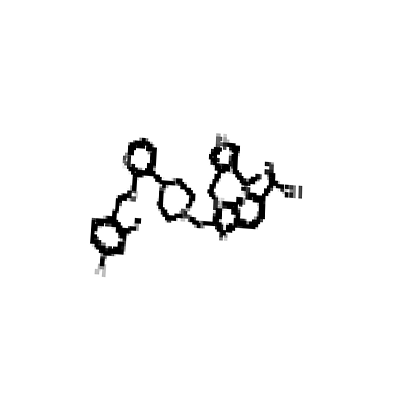 CCn1cncc1Cn1c(CN2CCC(c3cccnc3OCc3ccc(Cl)cc3F)CC2)nc2ccc(C(=O)O)nc21